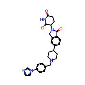 O=C1CCC(N2Cc3cc(C4CCN(Cc5ccc(-n6ccnc6)cc5)CC4)ccc3C2=O)C(=O)N1